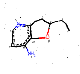 CCC1Cc2nccc(N)c2O1